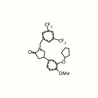 COc1ccc(C2CC(=O)N(Cc3cc(C(F)(F)F)cc(C(F)(F)F)c3)C2)cc1OC1CCCC1